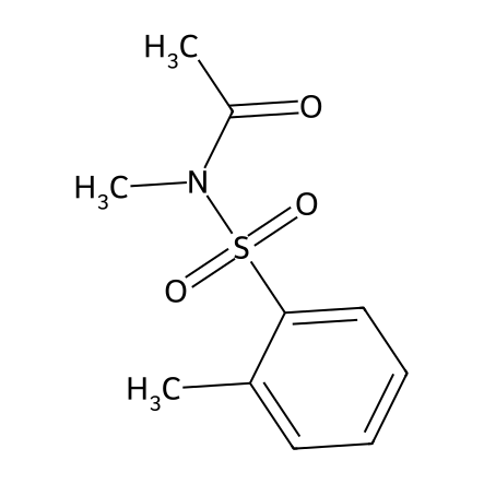 CC(=O)N(C)S(=O)(=O)c1ccccc1C